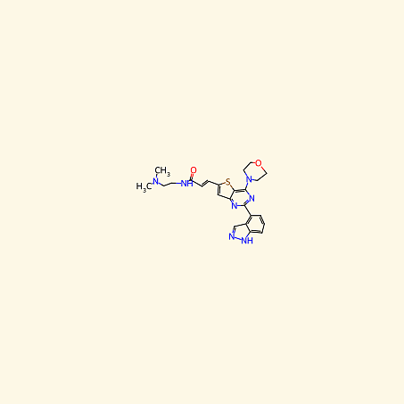 CN(C)CCNC(=O)/C=C/c1cc2nc(-c3cccc4[nH]ncc34)nc(N3CCOCC3)c2s1